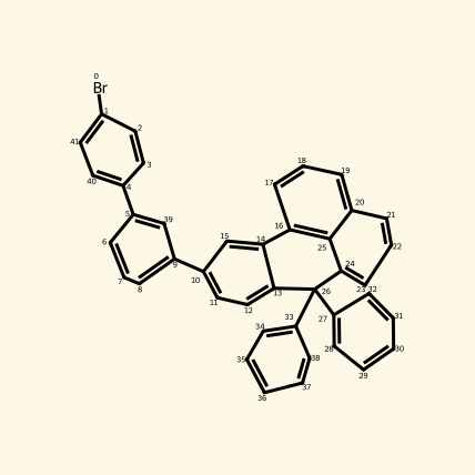 Brc1ccc(-c2cccc(-c3ccc4c(c3)-c3cccc5cccc(c35)C4(c3ccccc3)c3ccccc3)c2)cc1